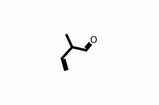 C=CC(C)C=O